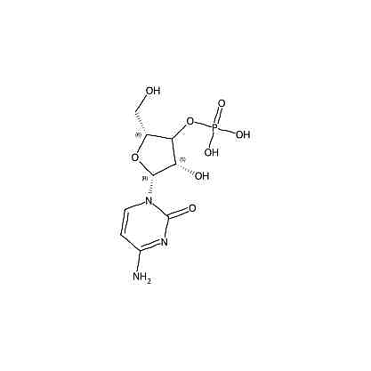 Nc1ccn([C@@H]2O[C@H](CO)C(OP(=O)(O)O)[C@@H]2O)c(=O)n1